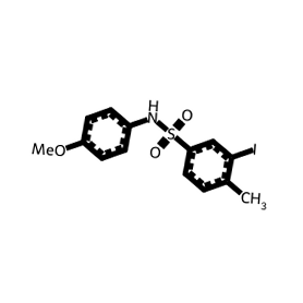 COc1ccc(NS(=O)(=O)c2ccc(C)c(I)c2)cc1